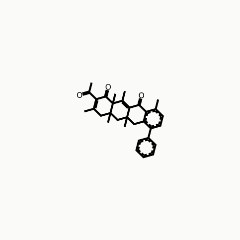 CC(=O)C1=C(C)CC2(C)CC3(C)Cc4c(-c5ccccc5)ccc(C)c4C(=O)C3=C(C)C2(C)C1=O